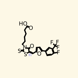 O=C(O)CCCCCN1C(=O)/C(=C\c2ccc(-c3ccc(F)c(C(F)(F)F)c3)o2)SC1=S